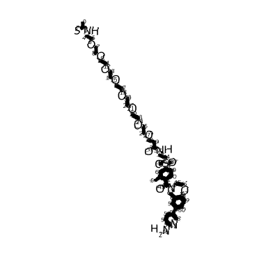 CC(=S)NCCOCCOCCOCCOCCOCCOCCOCCOCCC(=O)NCCS(=O)(=O)c1ccc(C(=O)N2CCOc3ccc(-c4ccc(N)nc4)cc3C2)c(C)c1